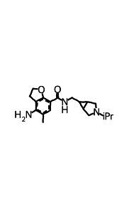 Cc1cc(C(=O)NCC2C3CN(C(C)C)CC23)c2c(c1N)CCO2